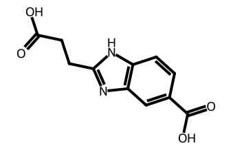 O=C(O)CCc1nc2cc(C(=O)O)ccc2[nH]1